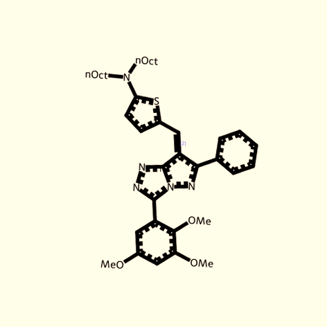 CCCCCCCCN(CCCCCCCC)c1ccc(/C=c2/c(-c3ccccc3)nn3c(-c4cc(OC)cc(OC)c4OC)nnc23)s1